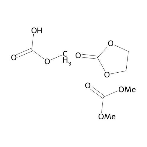 COC(=O)O.COC(=O)OC.O=C1OCCO1